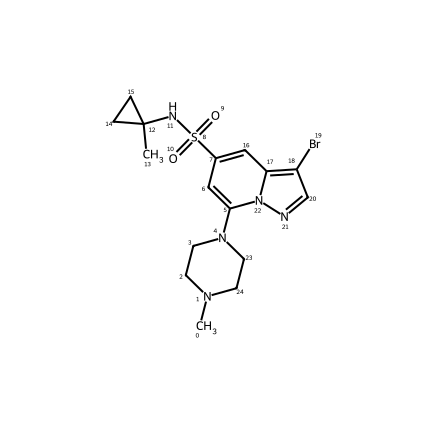 CN1CCN(c2cc(S(=O)(=O)NC3(C)CC3)cc3c(Br)cnn23)CC1